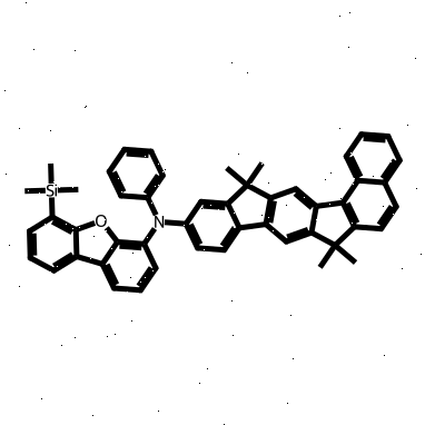 CC1(C)c2cc(N(c3ccccc3)c3cccc4c3oc3c([Si](C)(C)C)cccc34)ccc2-c2cc3c(cc21)-c1c(ccc2ccccc12)C3(C)C